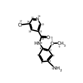 COc1cc(N)ccc1NC(=O)c1cncc(Cl)c1